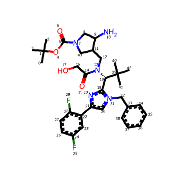 CC(C)(C)OC(=O)N1CC(N)C(CN(C(=O)CO)[C@@H](c2nc(-c3cc(F)ccc3F)cn2Cc2ccccc2)C(C)(C)C)C1